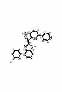 Fc1cccc(-c2cccc3[nH]c(-c4n[nH]c5ccc(-c6ccncc6)nc45)nc23)c1